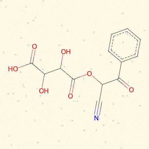 N#CC(OC(=O)C(O)C(O)C(=O)O)C(=O)c1ccccc1